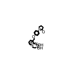 O=C1CCCN1c1ccc(OCC23CCC(CC2)N2CCS(O)(O)N=C23)cc1